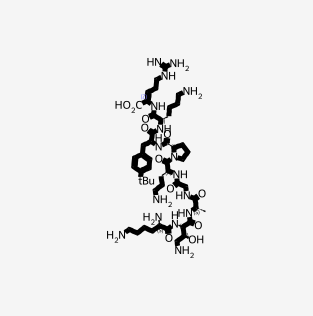 C[C@H](NC(=O)[C@@H](NC(=O)[C@@H](N)CCCCN)[C@@H](O)CN)C(=O)NCC(=O)N[C@H](CCCN)C(=O)N1CCC[C@H]1C(=O)NC(Cc1ccc(C(C)(C)C)cc1)C(=O)N[C@@H](CCCCN)C(=O)N/C(=C\CCNC(=N)N)C(=O)O